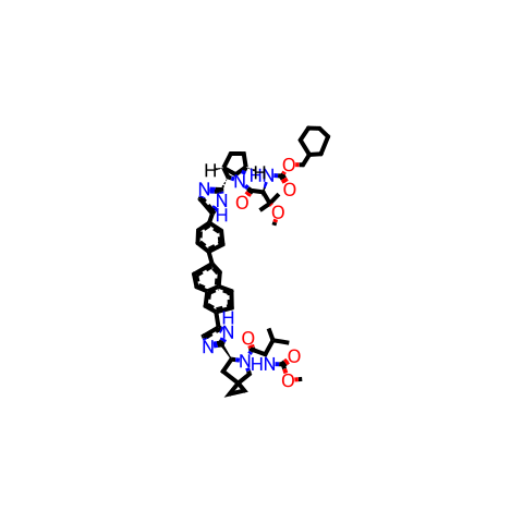 COC(=O)N[C@H](C(=O)N1CC2(CC2)C[C@H]1c1ncc(-c2ccc3cc(-c4ccc(-c5cnc([C@@H]6[C@H]7CC[C@H](C7)N6C(=O)[C@@H](NC(=O)OCC6CCCCC6)C(C)(C)OC)[nH]5)cc4)ccc3c2)[nH]1)C(C)C